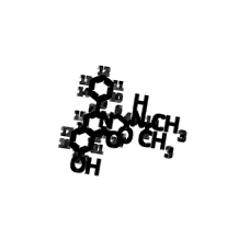 CC(C)NC(=O)Cn1c(-c2ccccc2)cc2ccc(O)cc2c1=O